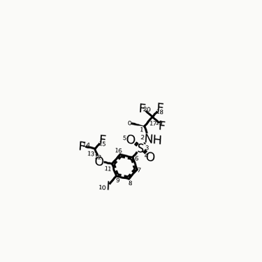 C[C@H](NS(=O)(=O)c1ccc(I)c(OC(F)F)c1)C(F)(F)F